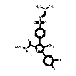 CON(C)C(=O)c1sc(-c2ccc(F)c(Cl)c2)c(C)c1-c1ccc(S(=O)(=O)N=CN(C)C)cc1